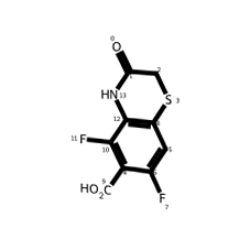 O=C1CSc2cc(F)c(C(=O)O)c(F)c2N1